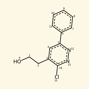 OCCc1cc(-c2ccccc2)nnc1Cl